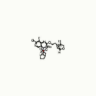 CC(C)(C)OC(=O)N1C2CCC1CN(c1nc(OCCN3C[C@@H]4C[C@H]3CO4)nc3c(F)c(Cl)ncc13)C2